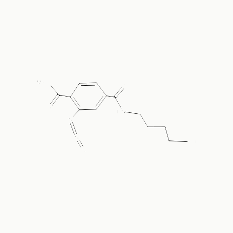 COC(=O)c1ccc(C(=O)NCCCCO)cc1N=[N+]=[N-]